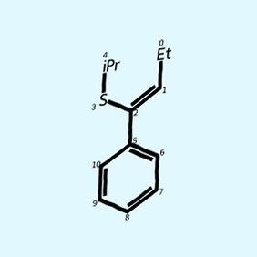 CC/C=C(\SC(C)C)c1ccccc1